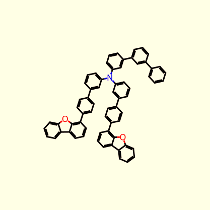 c1ccc(-c2cccc(-c3cccc(N(c4cccc(-c5ccc(-c6cccc7c6oc6ccccc67)cc5)c4)c4cccc(-c5ccc(-c6cccc7c6oc6ccccc67)cc5)c4)c3)c2)cc1